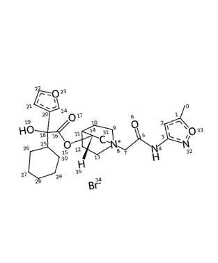 Cc1cc(NC(=O)C[N+]23CCC(CC2)[C@@H](OC(=O)C(O)(c2ccoc2)C2CCCCC2)C3)no1.[Br-]